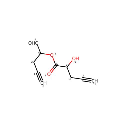 C#CCC(C=O)OC(=O)C(O)CC#C